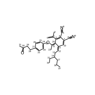 C=C(C)c1c(C#N)c(C#N)cc(=C/CC(CC)CCC)/c1=C(\C)Oc1ccc(CCC(C)=O)cc1